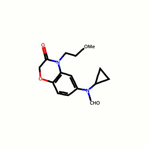 COCCN1C(=O)COc2ccc(N(C=O)C3CC3)cc21